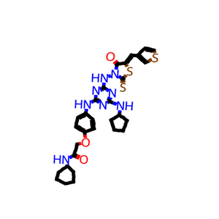 O=C(COc1ccc(Nc2nc(NC3CCCC3)nc(NN3C(=O)/C(=C/c4ccsc4)SC3=S)n2)cc1)NC1CCCCC1